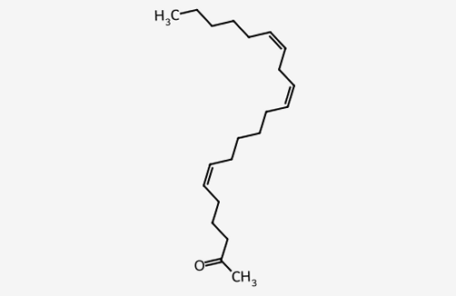 CCCCC/C=C\C/C=C\CCCC/C=C\CCCC(C)=O